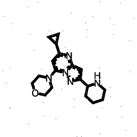 c1c(C2CC2)nc2cc(C3CCCCN3)nn2c1N1CCOCC1